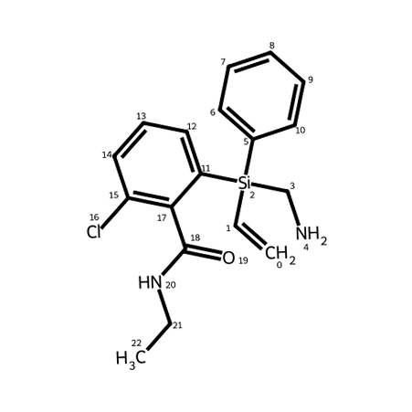 C=C[Si](CN)(c1ccccc1)c1cccc(Cl)c1C(=O)NCC